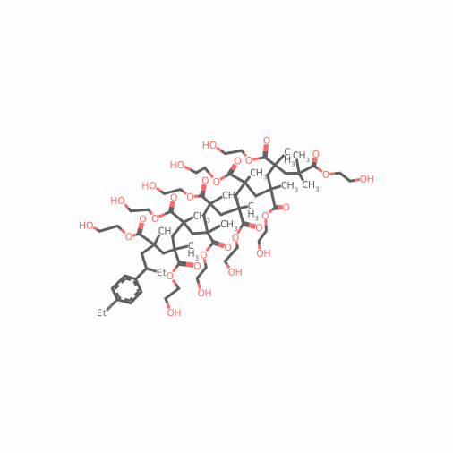 CCc1ccc(C(CC)CC(C)(CC(C)(CC(C)(CC(C)(CC(C)(CC(C)(CC(C)(CC(C)(CC(C)(CC(C)(C)C(=O)OCCO)C(=O)OCCO)C(=O)OCCO)C(=O)OCCO)C(=O)OCCO)C(=O)OCCO)C(=O)OCCO)C(=O)OCCO)C(=O)OCCO)C(=O)OCCO)cc1